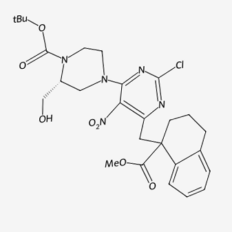 COC(=O)C1(Cc2nc(Cl)nc(N3CCN(C(=O)OC(C)(C)C)[C@@H](CO)C3)c2[N+](=O)[O-])CCCc2ccccc21